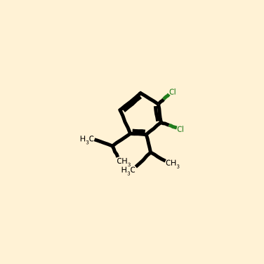 CC(C)c1ccc(Cl)c(Cl)c1C(C)C